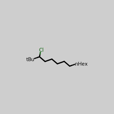 CCCCCCCCCCCC(Cl)C(C)(C)C